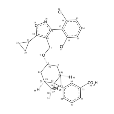 C[C@H]1C[C@@H]2C[C@@H](OCc3c(-c4c(Cl)cccc4Cl)noc3C3CC3)C[C@H]1[C@]2(O)c1cccc(C(=O)O)c1